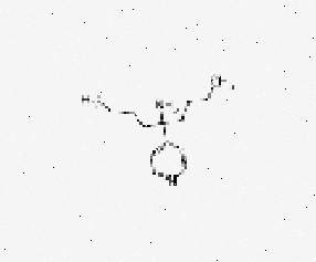 CCCCC(N)(CCCC)c1ccncc1